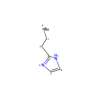 CCCC[CH]Cc1ncc[nH]1